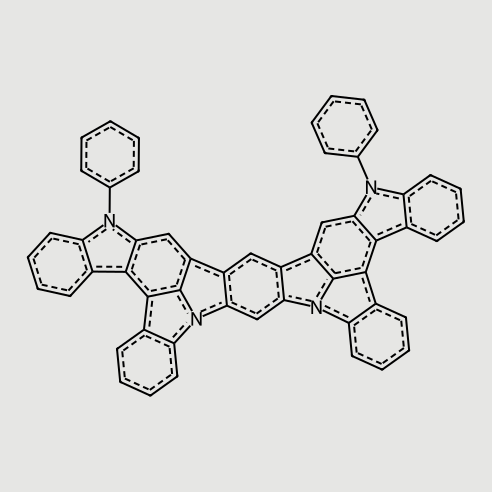 c1ccc(-n2c3ccccc3c3c4c5ccccc5n5c6cc7c(cc6c(cc32)c45)c2cc3c(c4ccccc4n3-c3ccccc3)c3c4ccccc4n7c23)cc1